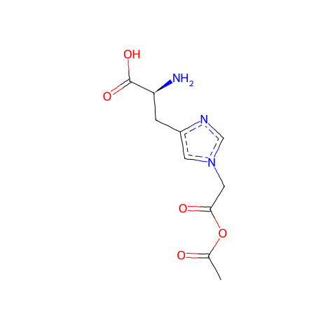 CC(=O)OC(=O)Cn1cnc(C[C@H](N)C(=O)O)c1